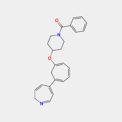 O=C(c1ccccc1)N1CCC(OC2=CC=CC=C(C3=CC=NCC=C3)C2)CC1